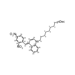 CCCCCCCCCCCCCCCCCCN1C=CC(=Cc2ccc([N+](=O)[O-])cc2[N+](=O)[O-])c2ccccc21